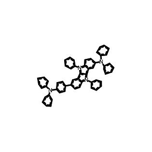 c1ccc(N(c2ccccc2)c2ccc(-c3ccc4c(c3)c3c(c5cc(N(c6ccccc6)c6ccccc6)ccc5n3-c3ccccc3)n4-c3ccccc3)cc2)cc1